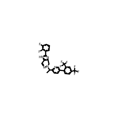 CC(c1ccc(-c2ccc(C(F)(F)F)cc2C(F)(F)F)cn1)N1Cc2nc(-c3cccc(F)c3F)[nH]c2C=N1